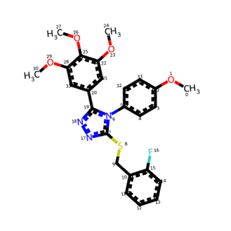 COc1ccc(-n2c(SCc3ccccc3F)nnc2-c2cc(OC)c(OC)c(OC)c2)cc1